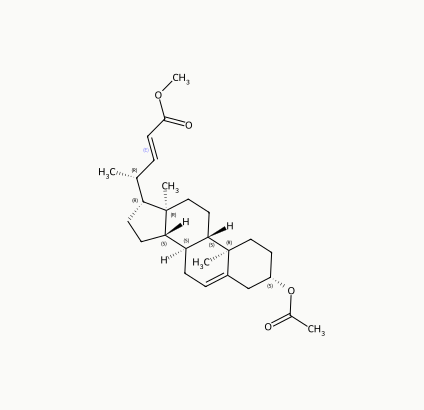 COC(=O)/C=C/[C@@H](C)[C@H]1CC[C@H]2[C@@H]3CC=C4C[C@@H](OC(C)=O)CC[C@]4(C)[C@H]3CC[C@]12C